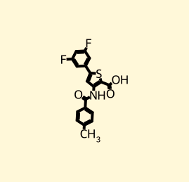 Cc1ccc(C(=O)Nc2cc(-c3cc(F)cc(F)c3)sc2C(=O)O)cc1